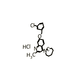 Cc1cc(N2CCCCCC2)c2ccc(OCc3cccc(Cl)c3)cc2n1.Cl